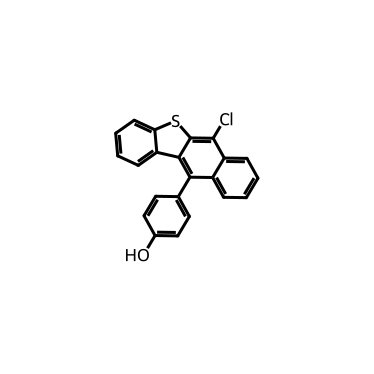 Oc1ccc(-c2c3ccccc3c(Cl)c3sc4ccccc4c23)cc1